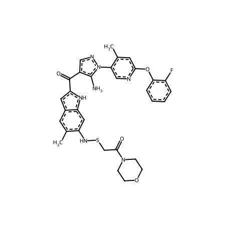 Cc1cc2cc(C(=O)c3cnn(-c4cnc(Oc5ccccc5F)cc4C)c3N)[nH]c2cc1NSCC(=O)N1CCOCC1